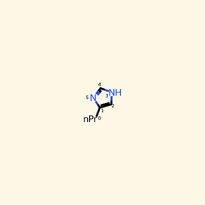 C[CH]Cc1c[nH]cn1